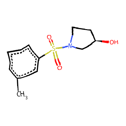 Cc1cccc(S(=O)(=O)N2CC[C@@H](O)C2)c1